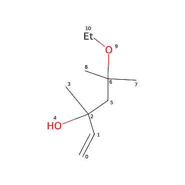 C=CC(C)(O)CC(C)(C)OCC